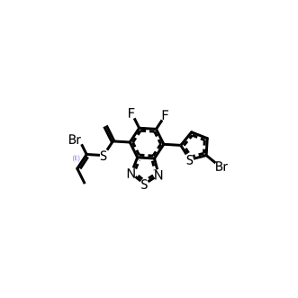 C=C(S/C(Br)=C\C)c1c(F)c(F)c(-c2ccc(Br)s2)c2nsnc12